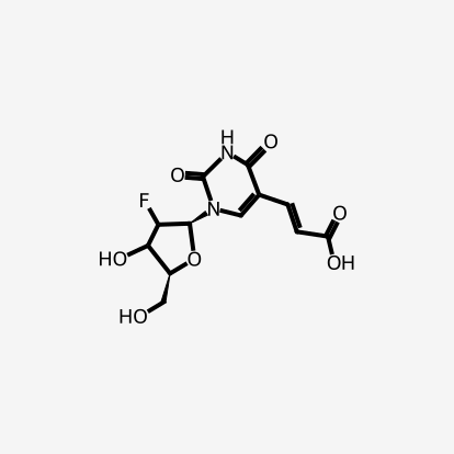 O=C(O)C=Cc1cn([C@H]2O[C@@H](CO)C(O)C2F)c(=O)[nH]c1=O